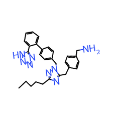 CCCCCc1nc(Cc2ccc(CN)cc2)n(Cc2ccc(-c3ccccc3-c3nnn[nH]3)cc2)n1